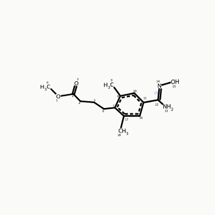 COC(=O)CCCc1c(C)cc(/C(N)=N/O)cc1C